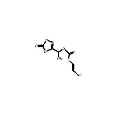 CCCC=COC(=O)OC(CCCC)c1noc(=O)o1